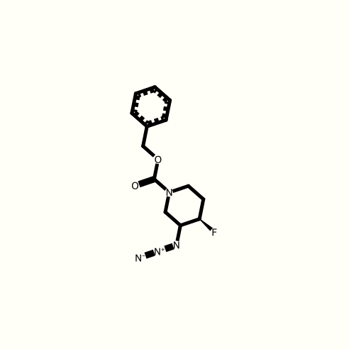 [N-]=[N+]=NC1CN(C(=O)OCc2ccccc2)CC[C@H]1F